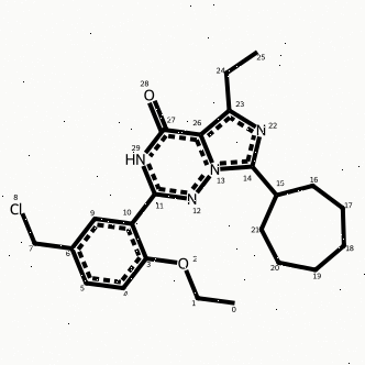 CCOc1ccc(CCl)cc1-c1nn2c(C3CCCCCC3)nc(CC)c2c(=O)[nH]1